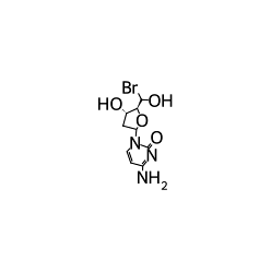 Nc1ccn(C2C[C@H](O)[C@@H](C(O)Br)O2)c(=O)n1